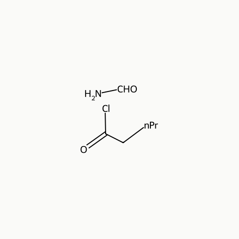 CCCCC(=O)Cl.NC=O